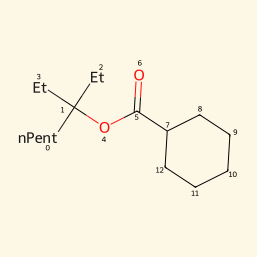 CCCCCC(CC)(CC)OC(=O)C1CCCCC1